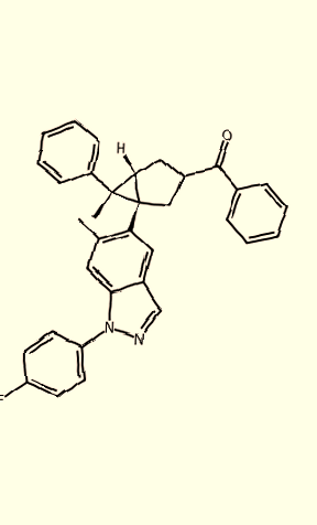 Cc1cc2c(cnn2-c2ccc(F)cc2)cc1[C@]12CC(C(=O)c3ccccc3)C[C@H]1[C@@]2(C)c1ccccc1